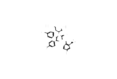 CCCC(C(=O)O)N1C(=O)[C@H](Cc2ccc(F)cc2C#N)O[C@@H](c2ccc(Cl)cc2)[C@H]1c1ccc(Cl)cc1